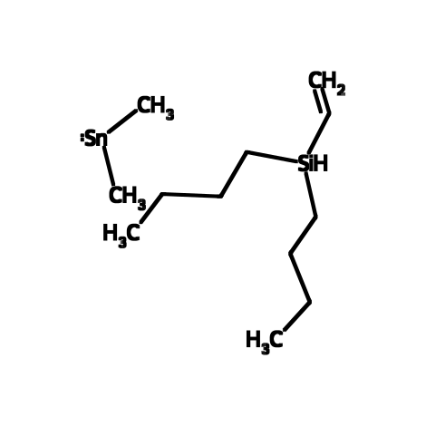 C=C[SiH](CCCC)CCCC.[CH3][Sn][CH3]